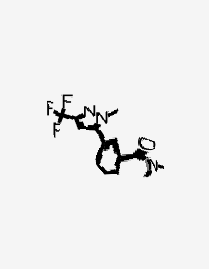 CN(C)C(=O)c1cccc(-c2cc(C(F)(F)F)nn2C)c1